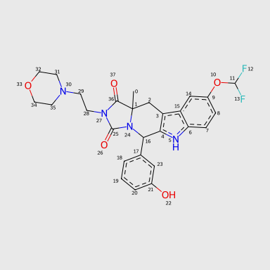 CC12Cc3c([nH]c4ccc(OC(F)F)cc34)C(c3cccc(O)c3)N1C(=O)N(CCN1CCOCC1)C2=O